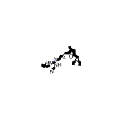 C#CCN/C(=N/CCSCc1oc(CN(CC)CC)cc1C)NC#N